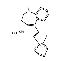 CN1CCN=C(C=Cc2ccccc2F)c2ccccc21.Cl.Cl